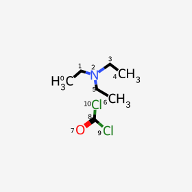 CCN(CC)CC.O=C(Cl)Cl